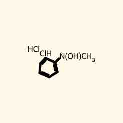 CN(O)c1ccccc1.Cl.Cl